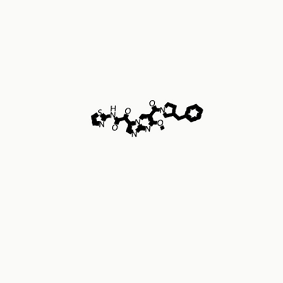 COc1nc2ncc(C(=O)C(=O)Nc3nccs3)n2cc1C(=O)N1CCC(Cc2ccccc2)C1